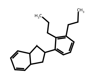 CCCc1cccc(C2[C]C3C=CC=CC3C2)c1CCC